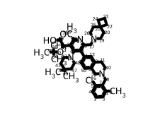 Cc1cccc(Cl)c1CN1CCc2cc(-c3c(CN4CCC5(CCC5)CC4)nc(C)c(C(OC(C)(C)C)C(=O)O)c3N3CCC(C)(C)CC3)ccc2C1